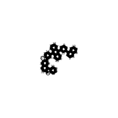 C1=CC(c2cccc3ccccc23)CC(c2c3ccccc3c(-c3ccc4oc5cc6ccc7oc8ccccc8c7c6cc5c4c3)c3ccccc23)=C1